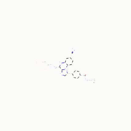 N#Cc1ccc2c(c1)nc(NCC(O)CO)c1ncc(-c3ccc(C(=O)NC4CC4)c(Cl)c3)n12